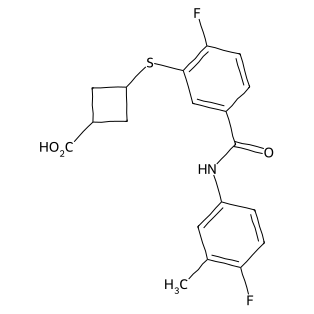 Cc1cc(NC(=O)c2ccc(F)c(SC3CC(C(=O)O)C3)c2)ccc1F